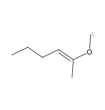 [C]OC(C)=CCCC